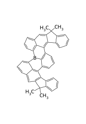 CC1(C)c2ccccc2-c2c1cc1cccc3c1c2-c1cccc2c1B3c1cccc3cc4c(c-2c13)-c1ccccc1C4(C)C